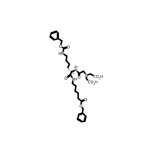 O=C(O)CN(CC(=O)O)CC(=O)N[C@@H](CCCCNC(=O)OCc1ccccc1)C(=O)NCCCCCC(=O)OCc1ccccc1